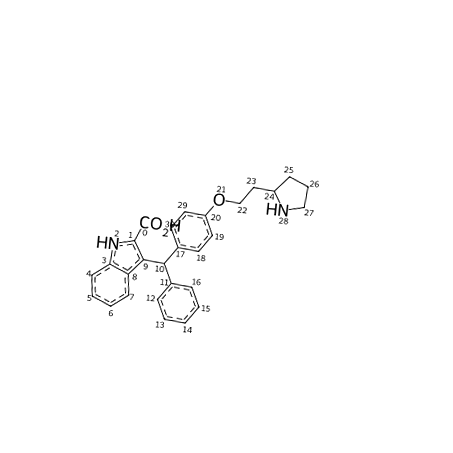 O=C(O)c1[nH]c2ccccc2c1C(c1ccccc1)c1ccc(OCCC2CCCN2)cc1